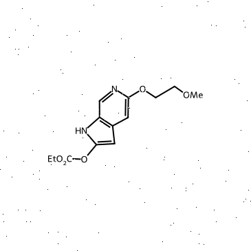 CCOC(=O)Oc1cc2cc(OCCOC)ncc2[nH]1